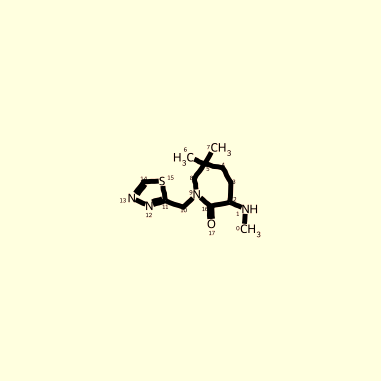 CNC1CCC(C)(C)CN(Cc2nncs2)C1=O